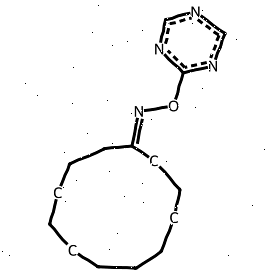 c1ncnc(ON=C2CCCCCCCCCCC2)n1